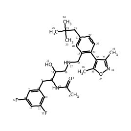 CC(=O)NC(Cc1cc(F)cc(F)c1)C(O)CNCc1cc(CC(C)(C)C)ccc1-c1c(C)noc1C